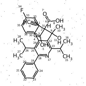 C#CC(C(=O)O)([PH](=O)O)C(C)(O)c1c(C(C)C)nc(-c2ccccc2)c(C(C)C)c1-c1ccc(F)cc1